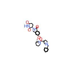 O=C1CCC(N2Cc3cc(OC[C@H]4CCCCN4C(=O)[C@H]4CCN(Cc5ccccc5)C4)ccc3C2=O)C(=O)N1